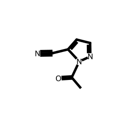 CC(=O)n1nccc1C#N